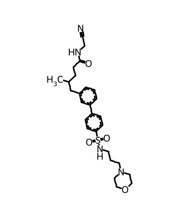 CC(CCC(=O)NCC#N)Cc1cccc(-c2ccc(S(=O)(=O)NCCCN3CCOCC3)cc2)c1